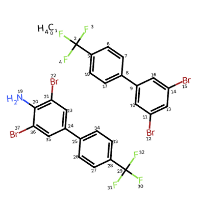 C.FC(F)(F)c1ccc(-c2cc(Br)cc(Br)c2)cc1.Nc1c(Br)cc(-c2ccc(C(F)(F)F)cc2)cc1Br